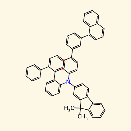 CC1(C)c2ccccc2-c2ccc(N(c3ccc(-c4cccc(-c5cccc6ccccc56)c4)cc3)c3ccccc3-c3ccccc3-c3ccccc3)cc21